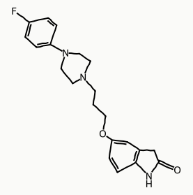 O=C1Cc2cc(OCCCN3CCN(c4ccc(F)cc4)CC3)ccc2N1